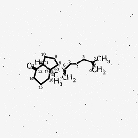 C=C(C)CCCC(=C)[C@H]1CC[C@H]2C(=O)CCC[C@]12C